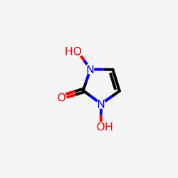 O=c1n(O)ccn1O